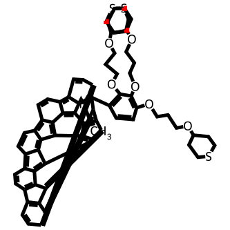 CN1CC23C4=c5ccc6c7ccc8c9ccc%10c%11ccc%12c%13c(c%14c%15c2c5c6c2c7c8c5c9c%10c(c%13%11)c%14c5c%152)C3(C=%12C=C4)C1c1ccc(OCCCOC2CCSCC2)c(OCCCOC2CCSCC2)c1OCCCOC1CCSCC1